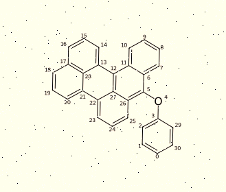 c1ccc(Oc2c3ccccc3c3c4cccc5cccc(c6cccc2c63)c54)cc1